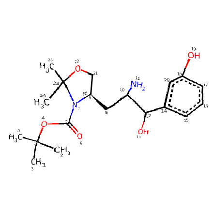 CC(C)(C)OC(=O)N1[C@H](CC(N)C(O)c2cccc(O)c2)COC1(C)C